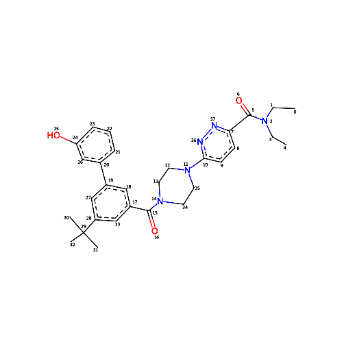 CCN(CC)C(=O)c1ccc(N2CCN(C(=O)c3cc(-c4cccc(O)c4)cc(C(C)(C)C)c3)CC2)nn1